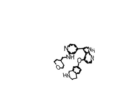 c1cc(-c2c[nH]c3nccc(Oc4ccc5c(c4)CNCC5)c23)cc(NCC2CCOCC2)n1